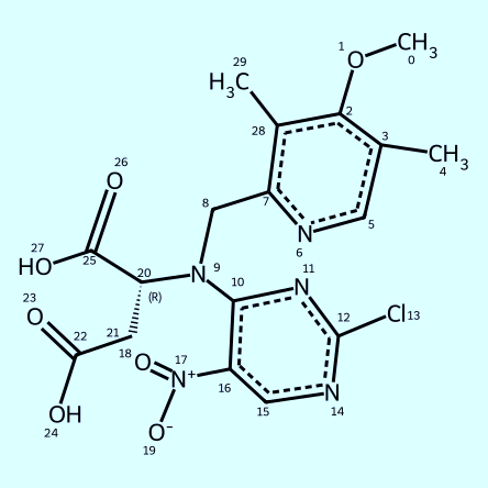 COc1c(C)cnc(CN(c2nc(Cl)ncc2[N+](=O)[O-])[C@H](CC(=O)O)C(=O)O)c1C